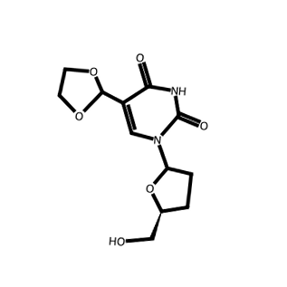 O=c1[nH]c(=O)n(C2CC[C@@H](CO)O2)cc1C1OCCO1